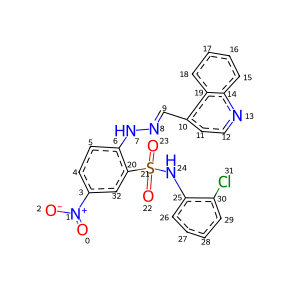 O=[N+]([O-])c1ccc(N/N=C/c2ccnc3ccccc23)c(S(=O)(=O)Nc2ccccc2Cl)c1